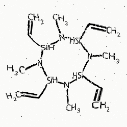 C=C[SiH]1N(C)[SiH](C=C)N(C)[SiH](C=C)N(C)[SiH](C=C)N1C